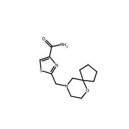 NC(=O)c1csc(CN2CCOC3(CCCC3)C2)n1